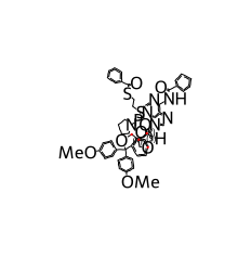 COc1ccc(C(OC[C@]23CO[C@@H](C2OP(SCCSC(=O)c2ccccc2)N2CCCC2)[C@H](n2cnc4c(NC(=O)c5ccccc5)ncnc42)O3)(c2ccccc2)c2ccc(OC)cc2)cc1